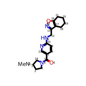 CN[C@H]1CCN(C(=O)c2ccc(NCc3noc4c3CCCC4)nc2)C1